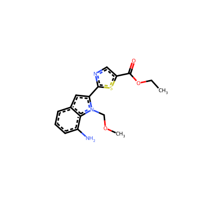 CCOC(=O)c1cnc(-c2cc3cccc(N)c3n2COC)s1